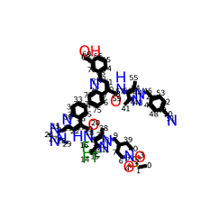 CCS(=O)(=O)N1CCC(Cn2nc(C(F)(F)F)c(NC(=O)c3cc(-c4ncnn4C)nc4ccccc34)c2C)CC1.Cc1nn(Cc2ccc(C#N)cc2)c(C)c1NC(=O)c1cc(-c2cccc(CO)c2)nc2ccccc12